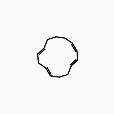 [C]1=C/CCC/C=C\C=C\CC/C=C/C/1